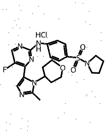 Cc1ncc(-c2nc(Nc3ccc(S(=O)(=O)N4CCCC4)cc3)ncc2F)n1C1CCOCC1.Cl